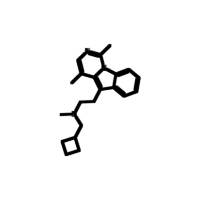 Cc1cnc(C)n2c1c(CCN(C)CC1CCC1)c1ccccc12